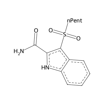 CCCCCS(=O)(=O)c1c(C(N)=O)[nH]c2ccccc12